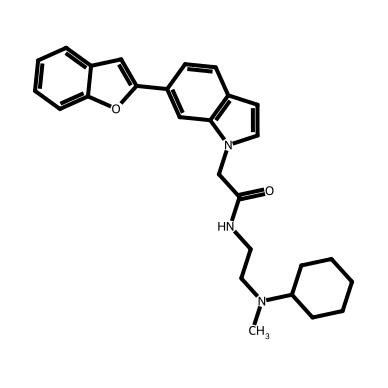 CN(CCNC(=O)Cn1ccc2ccc(-c3cc4ccccc4o3)cc21)C1CCCCC1